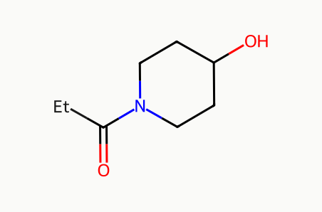 CCC(=O)N1CCC(O)CC1